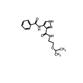 CC(C)OCCNC(=O)c1n[nH]cc1NC(=O)c1ccccc1